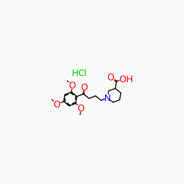 COc1cc(OC)c(C(=O)CCCN2CCCC(C(=O)O)C2)c(OC)c1.Cl